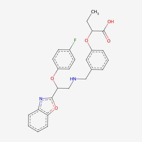 CCC(Oc1cccc(CNCC(Oc2ccc(F)cc2)c2nc3ccccc3o2)c1)C(=O)O